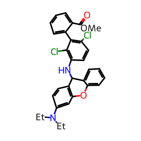 CCN(CC)c1ccc2c(c1)Oc1ccccc1C2Nc1ccc(Cl)c(-c2ccccc2C(=O)OC)c1Cl